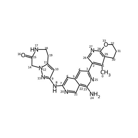 Cc1c(-c2cc3cc(Nc4cc5n(n4)CC(=O)NCC5)ncc3c(N)n2)cnc2c1CCCO2